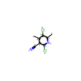 Cc1nc(Cl)c(C#N)c(C)c1Cl